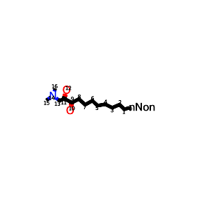 CCCCCCCCCCCCCCCCCC(=O)C(=O)CN(C)C